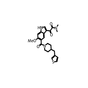 COc1cc2[nH]cc(C(=O)C(=O)N(C)C)c2cc1C(=O)N1CCC(Cc2ccsc2)CC1